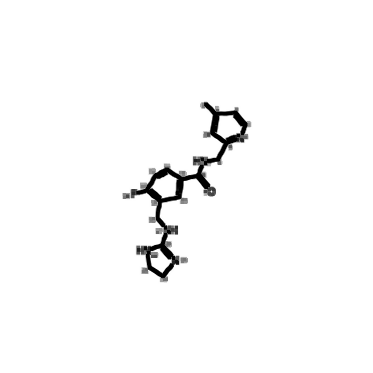 Cc1ccnc(CNC(=O)c2ccc(F)c(CNC3=NCCN3)c2)c1